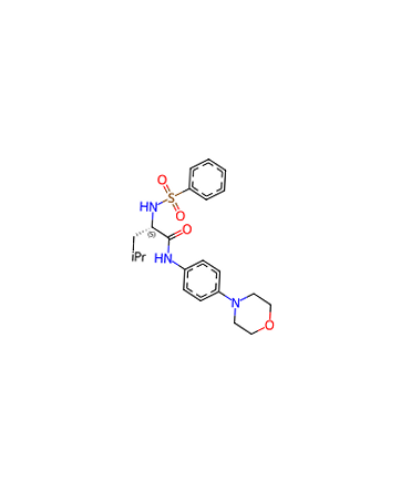 CC(C)C[C@H](NS(=O)(=O)c1ccccc1)C(=O)Nc1ccc(N2CCOCC2)cc1